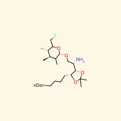 CCCCCCCCCCCCCC[C@H]1OC(C)(C)O[C@H]1[C@@H](N)CO[C@H]1OC(CF)[C@@H](C)[C@H](C)C1C